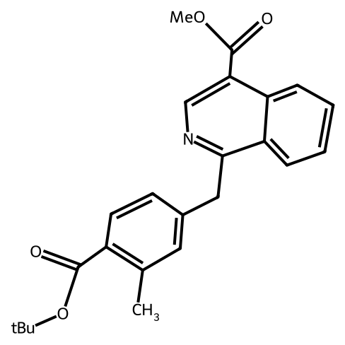 COC(=O)c1cnc(Cc2ccc(C(=O)OC(C)(C)C)c(C)c2)c2ccccc12